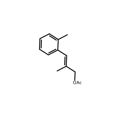 CC(=O)OC/C(C)=C/c1ccccc1C